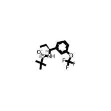 CC[C@H](N[S@+]([O-])C(C)(C)C)c1cccc(OC(F)(F)F)c1